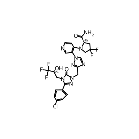 NC(=O)[C@H]1CC(F)(F)CN1c1ccncc1-n1cnc(Cn2nc(-c3ccc(Cl)cc3)n(C[C@H](O)C(F)(F)F)c2=O)n1